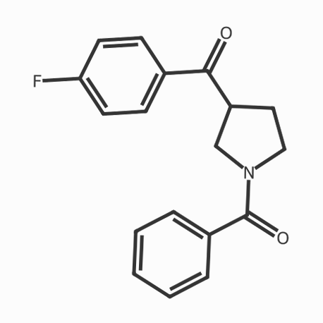 O=C(c1ccc(F)cc1)C1CCN(C(=O)c2ccccc2)C1